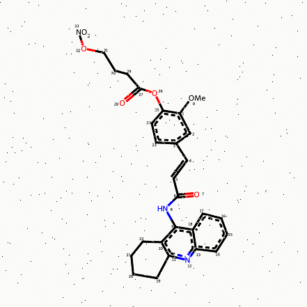 COc1cc(/C=C/C(=O)Nc2c3c(nc4ccccc24)CCCC3)ccc1OC(=O)CCCO[N+](=O)[O-]